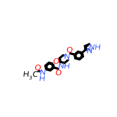 CC(=O)Nc1ccc2c(c1)C(=O)NC1(CCN(C(=O)c3cccc(-c4cc[nH]n4)c3)CC1)O2